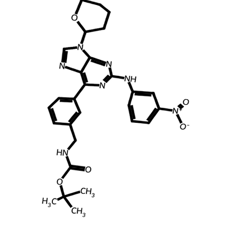 CC(C)(C)OC(=O)NCc1cccc(-c2nc(Nc3cccc([N+](=O)[O-])c3)nc3c2ncn3C2CCCCO2)c1